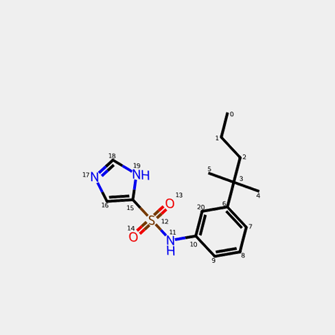 CCCC(C)(C)c1cccc(NS(=O)(=O)c2cnc[nH]2)c1